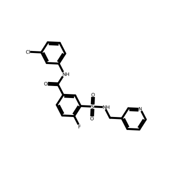 O=C(Nc1cccc(Cl)c1)c1ccc(F)c(S(=O)(=O)NCc2cccnc2)c1